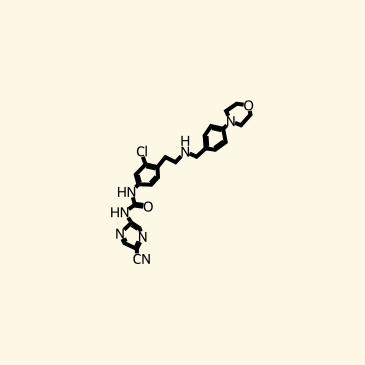 N#Cc1cnc(NC(=O)Nc2ccc(CCNCc3ccc(N4CCOCC4)cc3)c(Cl)c2)cn1